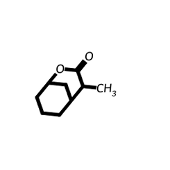 CC1C(=O)OC2CCCC1C2